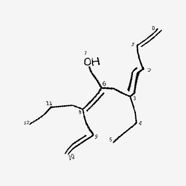 C=C/C=C(CC)\C(O)=C(/C=C)CC